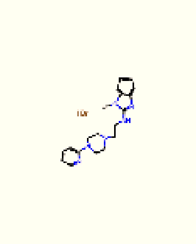 Br.CCn1c(NCCN2CCN(c3ccccn3)CC2)nc2ccccc21